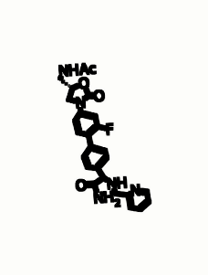 CC(=O)NC[C@H]1CN(c2ccc(-c3ccc(C(NCc4ccccn4)C(N)=O)cc3)c(F)c2)C(=O)O1